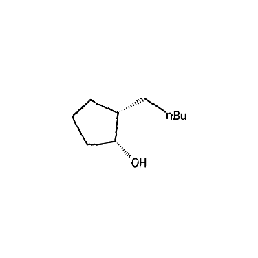 CCCCC[C@H]1CCC[C@H]1O